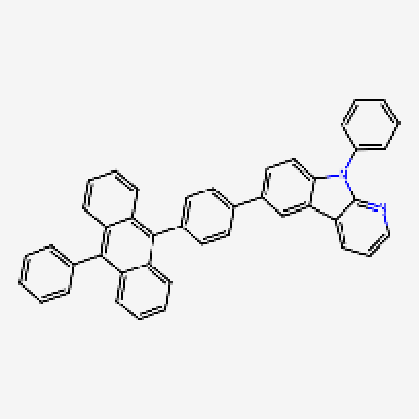 c1ccc(-c2c3ccccc3c(-c3ccc(-c4ccc5c(c4)c4cccnc4n5-c4ccccc4)cc3)c3ccccc23)cc1